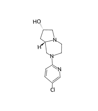 O[C@H]1C[C@H]2CN(c3ccc(Cl)cn3)CCN2C1